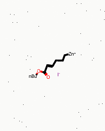 CCCCOC(=O)C=CCC[CH2][Zn+].[I-]